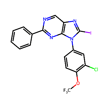 FC(F)(F)Oc1ccc(-n2c(I)nc3cnc(-c4ccccc4)nc32)cc1Cl